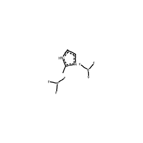 Cc1ncc[nH]1.FB(F)F.FB(F)F